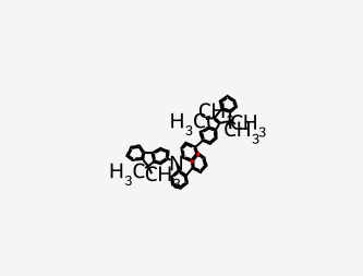 CC1(C)C2=C(c3ccccc31)C(C)(C)c1cc(-c3ccc(N(c4ccc5c(c4)C(C)(C)c4ccccc4-5)c4ccccc4-c4ccccc4)cc3)ccc12